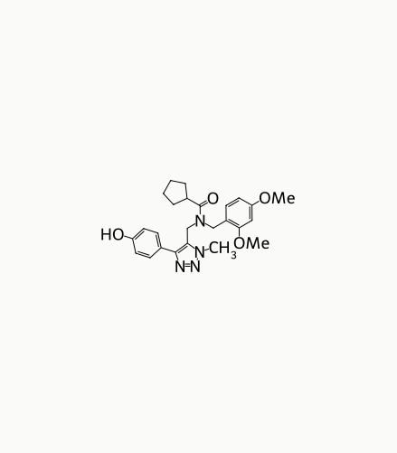 COc1ccc(CN(Cc2c(-c3ccc(O)cc3)nnn2C)C(=O)C2CCCC2)c(OC)c1